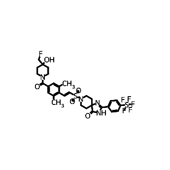 Cc1cc(C(=O)N2CCC(O)(CF)CC2)cc(C)c1/C=C/S(=O)(=O)N1CCC2(CC1)N=C(c1ccc(S(F)(F)(F)(F)F)cc1)NC2=O